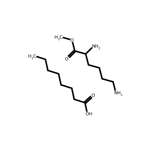 CCCCCCCC(=O)O.COC(=O)C(N)CCCCN